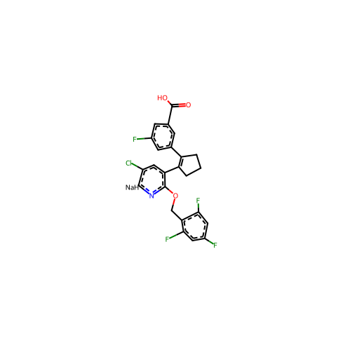 O=C(O)c1cc(F)cc(C2=C(c3cc(Cl)cnc3OCc3c(F)cc(F)cc3F)CCC2)c1.[NaH]